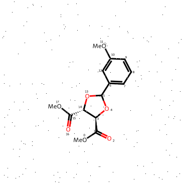 COC(=O)[C@@H]1OC(c2cccc(OC)c2)O[C@H]1C(=O)OC